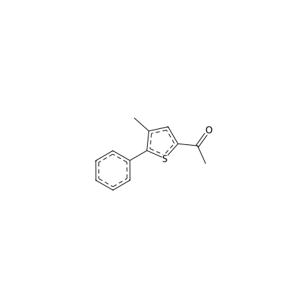 CC(=O)c1cc(C)c(-c2ccccc2)s1